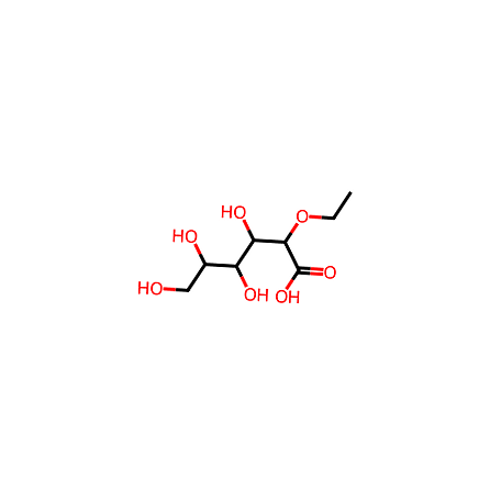 CCOC(C(=O)O)C(O)C(O)C(O)CO